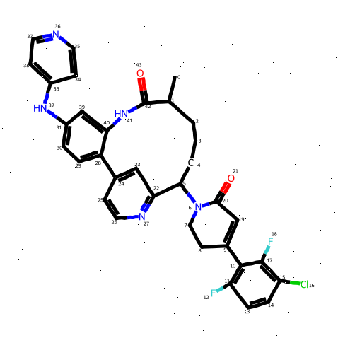 CC1CCCC(N2CCC(c3c(F)ccc(Cl)c3F)=CC2=O)c2cc(ccn2)-c2ccc(Nc3ccncc3)cc2NC1=O